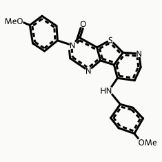 COc1ccc(Nc2ccnc3sc4c(=O)n(-c5ccc(OC)cc5)cnc4c23)cc1